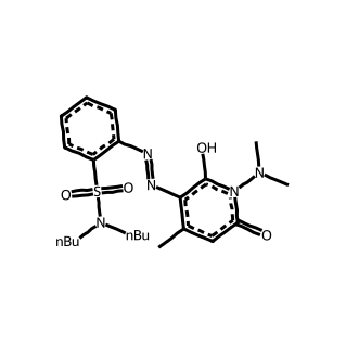 CCCCN(CCCC)S(=O)(=O)c1ccccc1/N=N/c1c(C)cc(=O)n(N(C)C)c1O